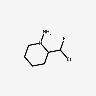 CCC(F)C1CCCCN1N